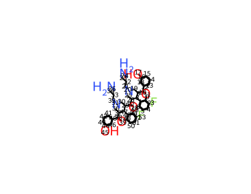 Cc1c(F)cccc1C1C(C(=O)c2cccc(O)c2)CN(CCCN)CC1C(=O)C1CN(CCCN)CC(C(=O)c2cccc(O)c2)C1c1cccc(F)c1C